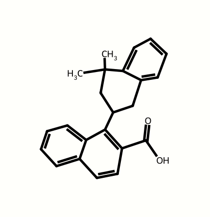 CC1(C)CC(c2c(C(=O)O)ccc3ccccc23)Cc2ccccc21